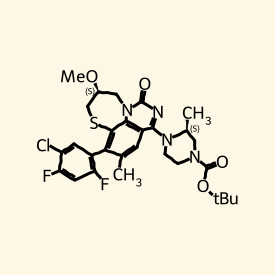 CO[C@@H]1CSc2c(-c3cc(Cl)c(F)cc3F)c(C)cc3c(N4CCN(C(=O)OC(C)(C)C)C[C@@H]4C)nc(=O)n(c23)C1